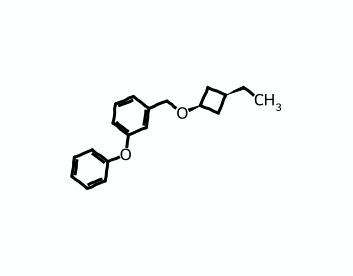 CC[C@H]1C[C@@H](OCc2cccc(Oc3ccccc3)c2)C1